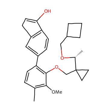 COc1c(C)ccc(-c2ccc3c(c2)CC=C3O)c1OCC1([C@@H](C)OCC2CCC2)CC1